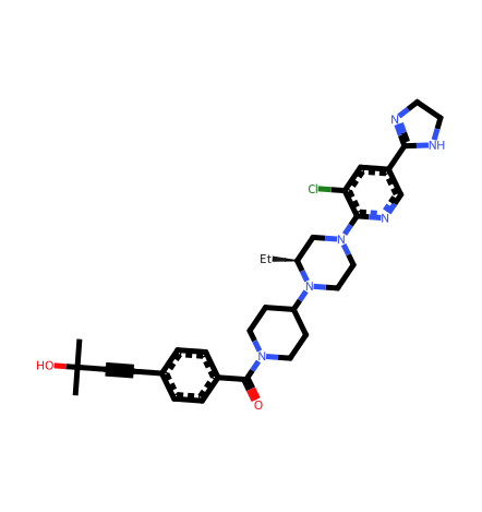 CC[C@H]1CN(c2ncc(C3=NCCN3)cc2Cl)CCN1C1CCN(C(=O)c2ccc(C#CC(C)(C)O)cc2)CC1